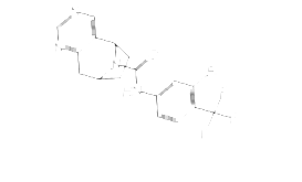 O=C(Nc1ccc(C(F)(F)F)c(Br)c1)N1C2CCC1c1cncnc1C2